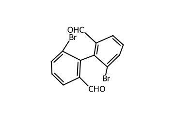 O=Cc1cccc(Br)c1-c1c(Br)cccc1C=O